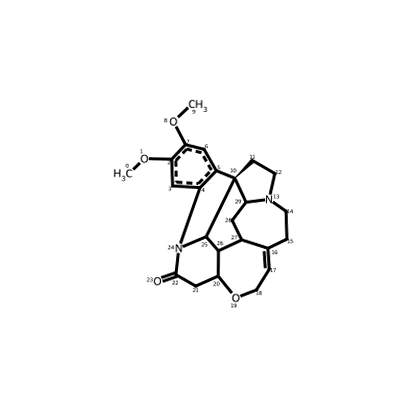 COc1cc2c(cc1OC)[C@@]13CCN4CCC5=CCOC6CC(=O)N2C1C6C5CC43